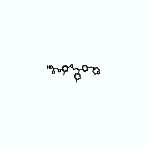 Cc1ccc(/C(=C\COc2ccc(OCC(=O)O)c(C)c2)c2ccc(CN3CCOCC3)cc2)cc1